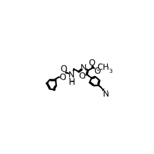 COC(=O)c1nc(CNC(=O)OCc2ccccc2)oc1-c1ccc(C#N)cc1